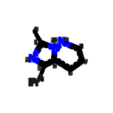 Cc1nc(C(C)C)c2cccnn12